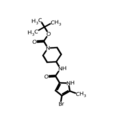 Cc1[nH]c(C(=O)NC2CCN(C(=O)OC(C)(C)C)CC2)cc1Br